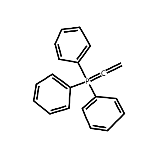 C=C=P(c1ccccc1)(c1ccccc1)c1ccccc1